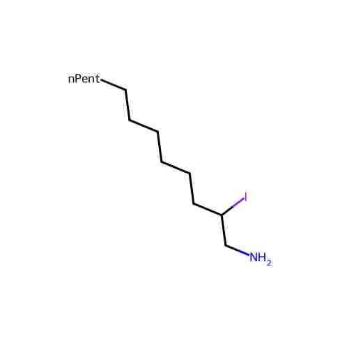 CCCCCCCCCCCC(I)CN